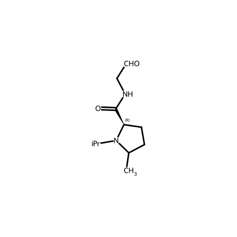 CC(C)N1C(C)CC[C@@H]1C(=O)NCC=O